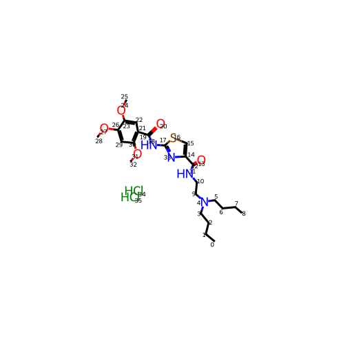 CCCCN(CCCC)CCNC(=O)c1csc(NC(=O)c2cc(OC)c(OC)cc2OC)n1.Cl.Cl